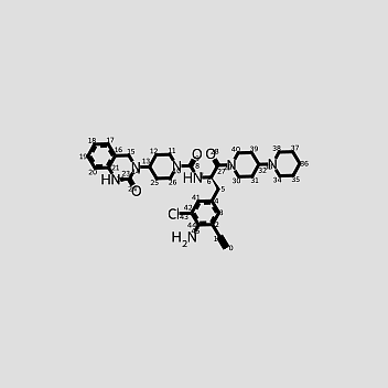 C#Cc1cc(C[C@@H](NC(=O)N2CCC(N3Cc4ccccc4NC3=O)CC2)C(=O)N2CCC(N3CCCCC3)CC2)cc(Cl)c1N